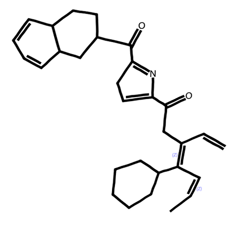 C=C/C(CC(=O)C1=CCC(C(=O)C2CCC3C=CC=CC3C2)=N1)=C(\C=C/C)C1CCCCC1